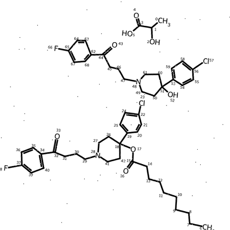 CC(O)C(=O)O.CCCCCCCCCC(=O)OC1(c2ccc(Cl)cc2)CCN(CCCC(=O)c2ccc(F)cc2)CC1.O=C(CCCN1CCC(O)(c2ccc(Cl)cc2)CC1)c1ccc(F)cc1